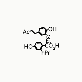 CCCc1cc(O)ccc1C(=O)O.CCOc1cc(CCC(C)=O)ccc1O